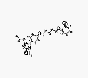 Cc1nc(-c2ccc(OCCCCCOc3ccccc3C#N)cc2)c(CCI)s1